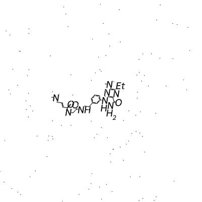 CCc1nc(C(N)=O)c(Nc2cccc(CCNC(=O)CN(C)C(=O)/C=C/CN(C)C)c2)nc1N(C)C